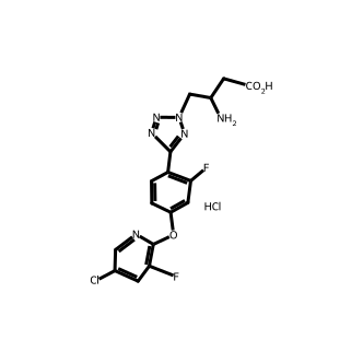 Cl.NC(CC(=O)O)Cn1nnc(-c2ccc(Oc3ncc(Cl)cc3F)cc2F)n1